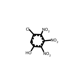 O=[N+]([O-])c1c(O)cc(Cl)c([N+](=O)[O-])c1[N+](=O)[O-]